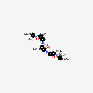 COc1ccc(N=Nc2c(S(=O)(=O)O)cc3cc(N=Nc4ccc5c(S(=O)(=O)O)cc(N=Nc6ccc7cc(S(=O)(=O)O)c(N=Nc8ccc(OC)cc8S(=O)(=O)O)c(O)c7c6)c(N)c5c4O)ccc3c2O)c(S(=O)(=O)O)c1